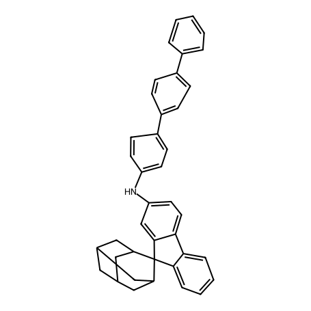 c1ccc(-c2ccc(-c3ccc(Nc4ccc5c(c4)C4(c6ccccc6-5)C5CC6CC(C5)CC4C6)cc3)cc2)cc1